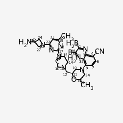 Bc1nc2c(C#N)ccc(N3C[C@H](CN4CCN(c5nc(C)cc(N6CC(N)C6)n5)CC4)O[C@H](C)C3)c2nc1B